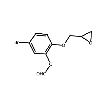 O=COc1cc(Br)ccc1OCC1CO1